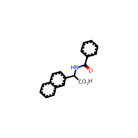 O=C(NC(C(=O)O)c1ccc2ccccc2c1)c1ccccc1